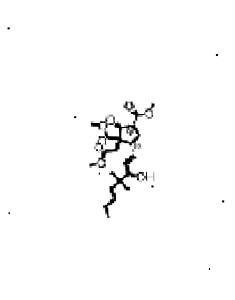 CCCCC(C)(C)C(O)C=C[C@H]1C[C@H](C(=O)OC)C(=O)C1(CC(=O)OC)C(=O)OC